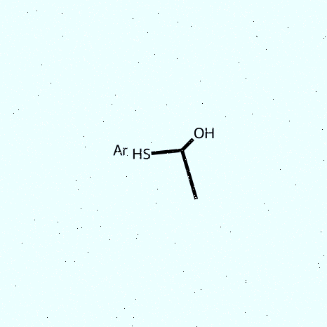 CC(O)S.[Ar]